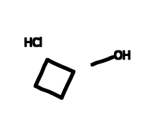 C1CCC1.CO.Cl